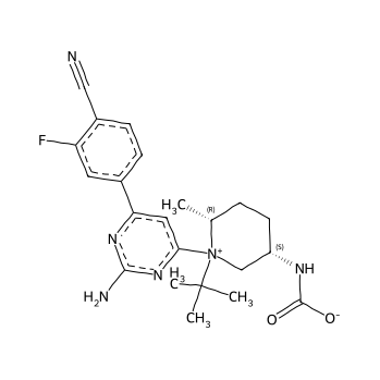 C[C@@H]1CC[C@H](NC(=O)[O-])C[N+]1(c1cc(-c2ccc(C#N)c(F)c2)nc(N)n1)C(C)(C)C